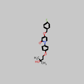 CC(C)(O)CCOc1ccc(-n2ccc(OCc3ccc(F)cc3)cc2=O)cc1